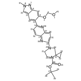 COCOc1cc2nn(C)cc2cc1-c1ccc2nc(N3CCN(C(=O)OC(C)(C)C)C4(CC4)C3)ccc2n1